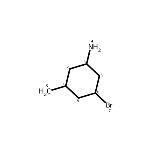 CC1CC(N)CC(Br)C1